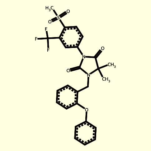 CC1(C)C(=O)N(c2ccc(S(C)(=O)=O)c(C(F)(F)F)c2)C(=O)N1Cc1ccccc1Oc1ccccc1